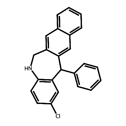 Clc1ccc2c(c1)C(c1ccccc1)c1cc3ccccc3cc1CN2